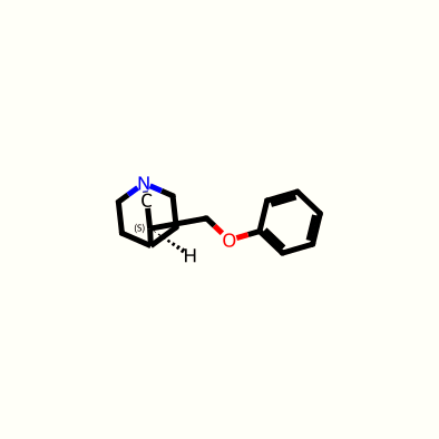 c1ccc(OC[C@@H]2CN3CCC2CC3)cc1